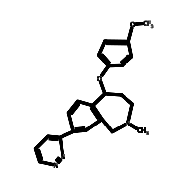 CN1CCC(Oc2ccc(OC(F)(F)F)cc2)c2ccc(-c3cccnn3)cc2C1